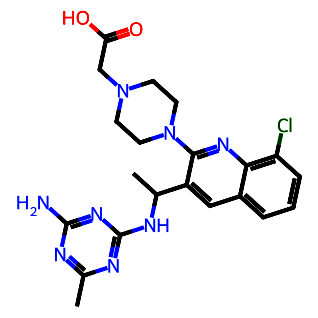 Cc1nc(N)nc(NC(C)c2cc3cccc(Cl)c3nc2N2CCN(CC(=O)O)CC2)n1